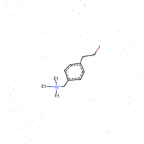 CC[N+](CC)(CC)Cc1ccc(CCI)cc1